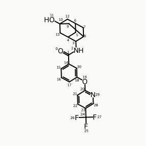 O=C(NC1C2CC3CC1CC(O)(C3)C2)c1cccc(Oc2ccc(C(F)(F)F)cn2)c1